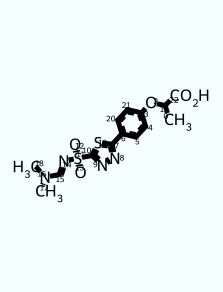 CC(Oc1ccc(-c2nnc(S(=O)(=O)N=CN(C)C)s2)cc1)C(=O)O